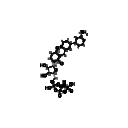 Nc1cccc(-c2ccnc(Cn3c(=O)ccn([C@@H]4O[C@H](COP(=O)(O)OP(=O)(O)OP(=O)(O)O)C(O)C4O)c3=O)c2)c1